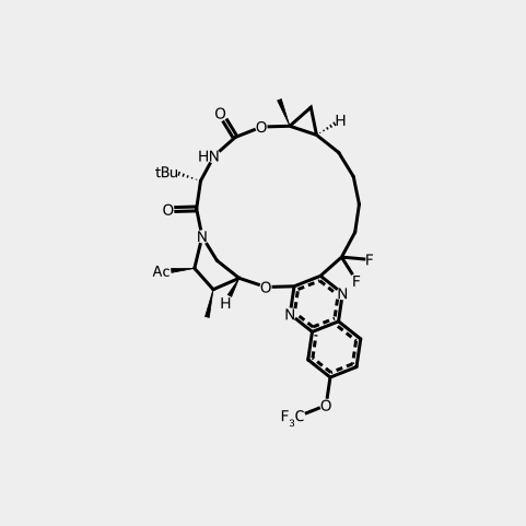 CC(=O)[C@@H]1[C@H](C)[C@@H]2CN1C(=O)[C@H](C(C)(C)C)NC(=O)O[C@]1(C)C[C@H]1CCCCC(F)(F)c1nc3ccc(OC(F)(F)F)cc3nc1O2